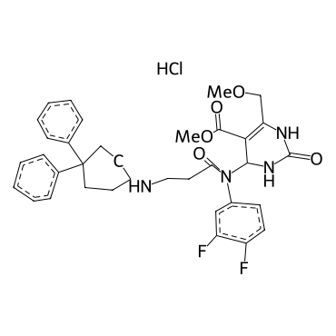 COCC1=C(C(=O)OC)C(N(C(=O)CCNC2CCC(c3ccccc3)(c3ccccc3)CC2)c2ccc(F)c(F)c2)NC(=O)N1.Cl